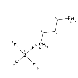 CCCCP.F[B-](F)(F)F